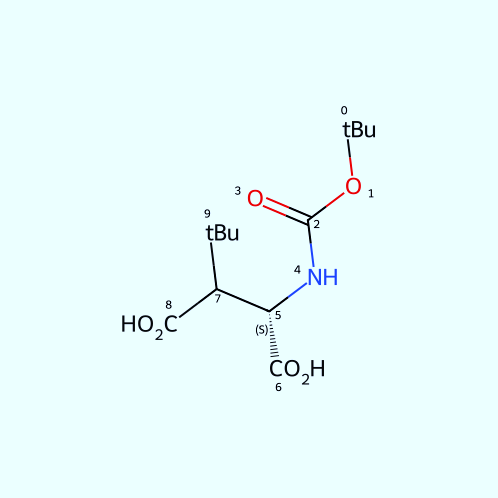 CC(C)(C)OC(=O)N[C@H](C(=O)O)C(C(=O)O)C(C)(C)C